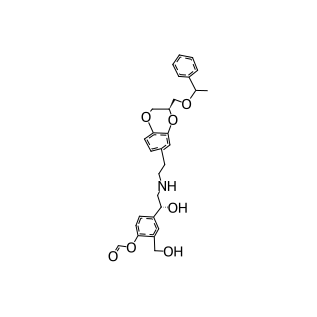 CC(OC[C@@H]1COc2ccc(CCNC[C@H](O)c3ccc(OC=O)c(CO)c3)cc2O1)c1ccccc1